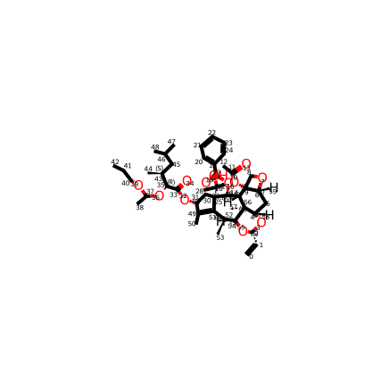 C=C[C@H]1O[C@H]2C[C@H]3OC[C@@]3(OC(C)=O)[C@H]3[C@H](OC(=O)c4ccccc4)[C@]4(C(C)(C)O)C[C@H](OC(=O)[C@H](OC(C)OCCC)[C@@H](C)CC(C)C)C(C)=C4[C@H](C)[C@H](O1)[C@]23C